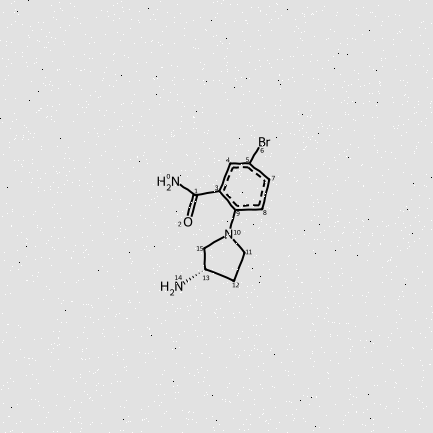 NC(=O)c1cc(Br)ccc1N1CC[C@H](N)C1